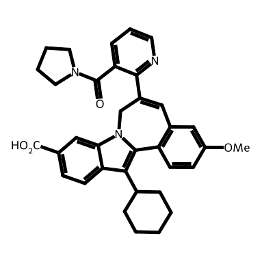 COc1ccc2c(c1)C=C(c1ncccc1C(=O)N1CCCC1)Cn1c-2c(C2CCCCC2)c2ccc(C(=O)O)cc21